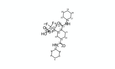 O=C(NC1CCCCC1)C1CCC(C(=O)NC2CCCCC2)C(C(F)(F)C(F)(F)S(=O)(=O)O)C1